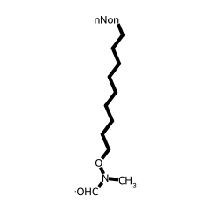 CCCCCCCCCCCCCCCCCCON(C)[C]=O